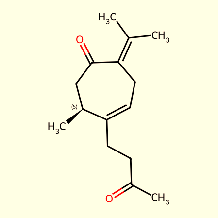 CC(=O)CCC1=CCC(=C(C)C)C(=O)C[C@@H]1C